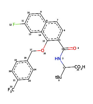 CC(C)(C)C(NC(=O)c1ccc2ccc(F)cc2c1OCc1ccc(C(F)(F)F)cc1)C(=O)O